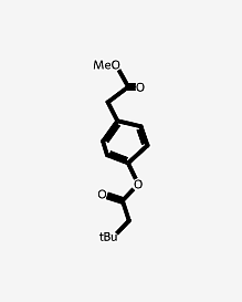 COC(=O)Cc1ccc(OC(=O)CC(C)(C)C)cc1